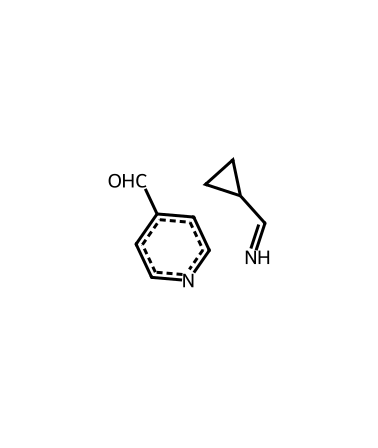 N=CC1CC1.O=Cc1ccncc1